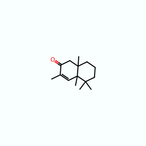 CC1=CC2(C)C(C)(C)CCCC2(C)CC1=O